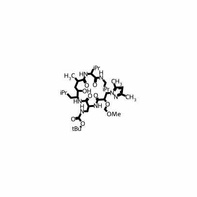 COCOC(Cn1nc(C)cc1C)C(=O)NC(CNC(=O)OC(C)(C)C)C(=O)NC(CC(C)C)C(O)CC(C)C(=O)NC(C(=O)NCC(C)C)C(C)C